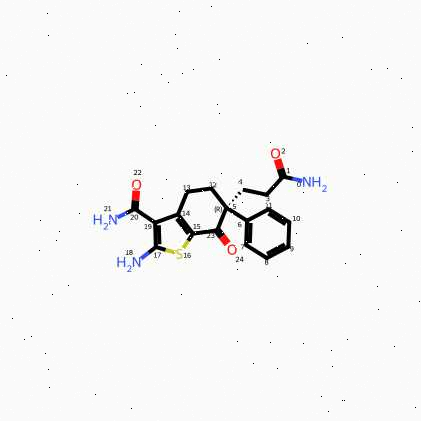 NC(=O)CC[C@@]1(c2ccccc2)CCc2c(sc(N)c2C(N)=O)C1=O